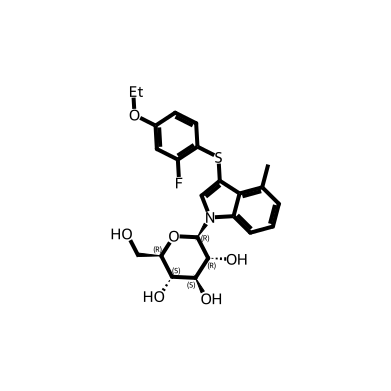 CCOc1ccc(Sc2cn([C@@H]3O[C@H](CO)[C@@H](O)[C@H](O)[C@H]3O)c3cccc(C)c23)c(F)c1